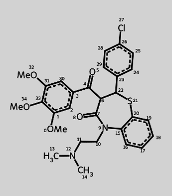 COc1cc(C(=O)C2C(=O)N(CCN(C)C)c3ccccc3SC2c2ccc(Cl)cc2)cc(OC)c1OC